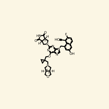 C#Cc1c(F)ccc2cc(O)cc(Cn3cnc4c(OCC5(CN6C[C@H]7COC[C@H]7C6)CC5)nc(N5C[C@@H]6C(=O)NC(=O)[C@@H]6C5)nc43)c12